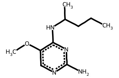 CCCC(C)Nc1nc(N)ncc1OC